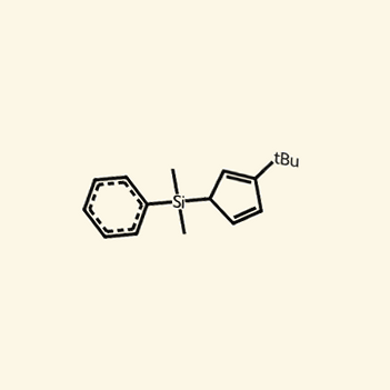 CC(C)(C)C1=C[C]([Si](C)(C)c2ccccc2)C=C1